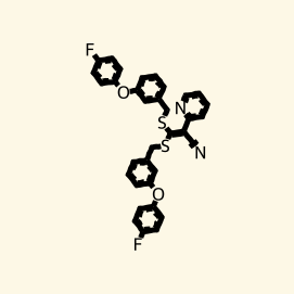 N#CC(=C(SCc1cccc(Oc2ccc(F)cc2)c1)SCc1cccc(Oc2ccc(F)cc2)c1)c1ccccn1